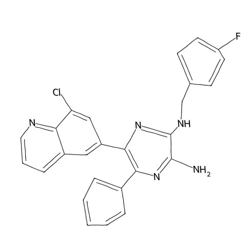 Nc1nc(-c2ccccc2)c(-c2cc(Cl)c3ncccc3c2)nc1NCc1ccc(F)cc1